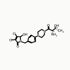 C[C@@H](O)[C@H](N)C(=O)N1CCN(c2ccc(CN3C(=O)C(Cl)=C(Cl)C3O)cc2)CC1